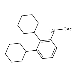 CC(=O)O[SiH2]c1cccc(C2CCCCC2)c1C1CCCCC1